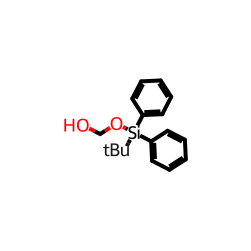 CC(C)(C)[Si](OCO)(c1ccccc1)c1ccccc1